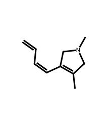 C=C/C=C\C1=C(C)CN(C)C1